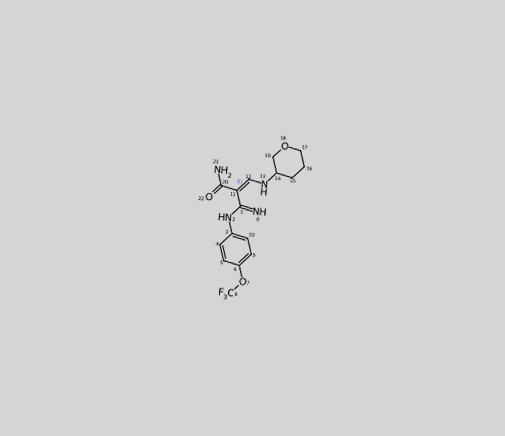 N=C(Nc1ccc(OC(F)(F)F)cc1)/C(=C\NC1CCCOC1)C(N)=O